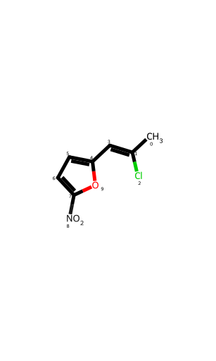 CC(Cl)=Cc1ccc([N+](=O)[O-])o1